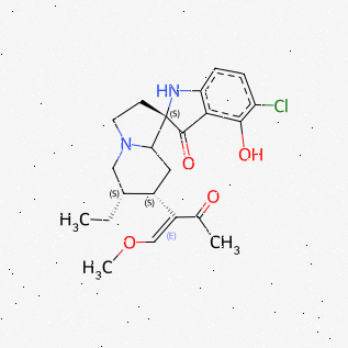 CC[C@@H]1CN2CC[C@]3(Nc4ccc(Cl)c(O)c4C3=O)C2C[C@@H]1/C(=C\OC)C(C)=O